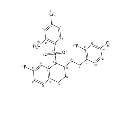 Cc1ccc(S(=O)(=O)N2c3cc(F)ccc3CCC2CCc2ccc(Cl)cc2F)c(C)c1